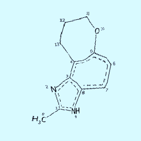 Cc1nc2c3c(ccc2[nH]1)OCCC3